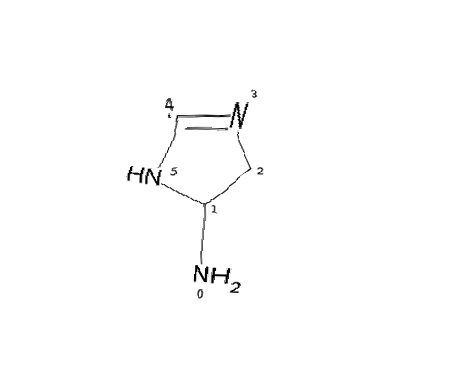 NC1CN=[C]N1